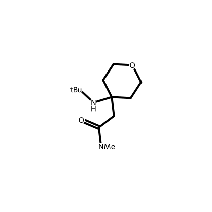 CNC(=O)CC1(NC(C)(C)C)CCOCC1